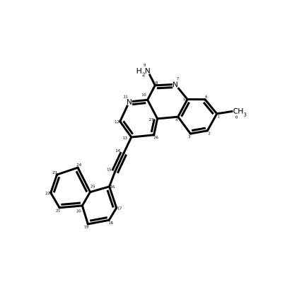 Cc1ccc2c(c1)nc(N)c1ncc(C#Cc3cccc4ccccc34)cc12